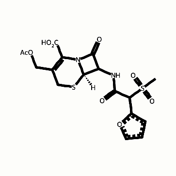 CC(=O)OCC1=C(C(=O)O)N2C(=O)C(NC(=O)C(c3ccco3)S(C)(=O)=O)[C@H]2SC1